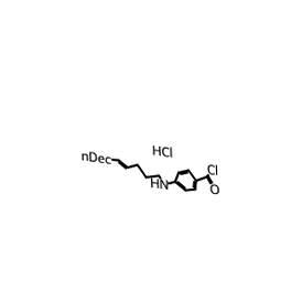 CCCCCCCCCC/C=C/CCCNc1ccc(C(=O)Cl)cc1.Cl